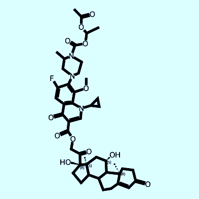 COc1c(N2CCN(C(=O)OC(C)OC(C)=O)C(C)C2)c(F)cc2c(=O)c(C(=O)OCC(=O)[C@@]3(O)CCC4C5CCC6=CC(=O)CC[C@]6(C)C5[C@@H](O)C[C@@]43C)cn(C3CC3)c12